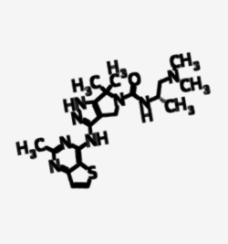 Cc1nc(Nc2n[nH]c3c2CN(C(=O)N[C@@H](C)CN(C)C)C3(C)C)c2sccc2n1